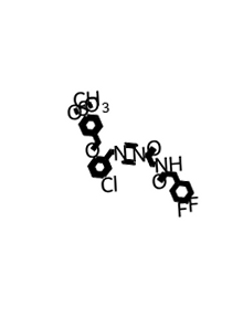 CS(=O)(=O)c1ccc(COc2ccc(Cl)cc2CN2CCN(C(=O)CNC(=O)CC3CCC(F)(F)CC3)CC2)cc1